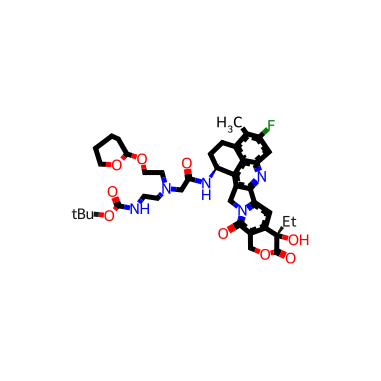 CC[C@@]1(O)C(=O)OCc2c1cc1n(c2=O)Cc2c-1nc1cc(F)c(C)c3c1c2[C@@H](NC(=O)CN(CCNC(=O)OC(C)(C)C)CCOC1CCCCO1)CC3